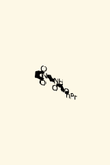 CCCOCCC(=O)NCCN1C(=O)C=CC1=O